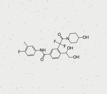 Cc1cc(NC(=O)c2ccc(C(O)CO)c(C(F)(F)C(=O)N3CCC(O)CC3)c2)ccc1F